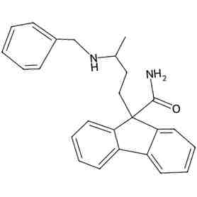 CC(CCC1(C(N)=O)c2ccccc2-c2ccccc21)NCc1ccccc1